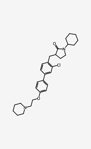 O=C1C(Cc2ccc(-c3ccc(OCCN4CCCCC4)cc3)cc2Cl)CCN1C1CCCCC1